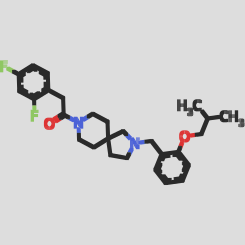 CC(C)COc1ccccc1CN1CCC2(CCN(C(=O)Cc3ccc(F)cc3F)CC2)C1